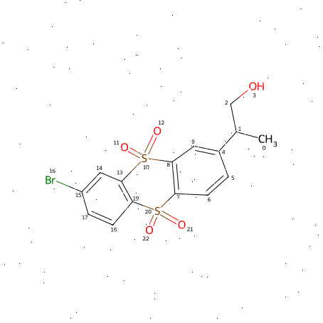 CC(CO)c1ccc2c(c1)S(=O)(=O)c1cc(Br)ccc1S2(=O)=O